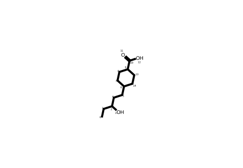 CCC(O)CCC1CCC(C(=O)O)CC1